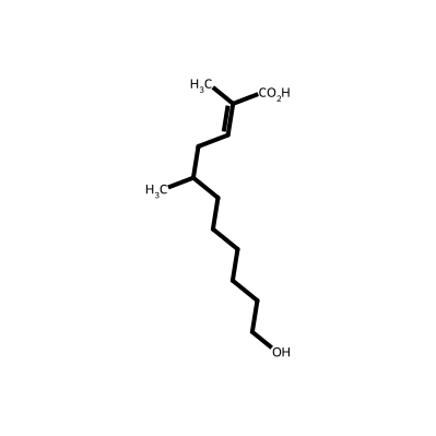 CC(=CCC(C)CCCCCCO)C(=O)O